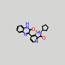 O=c1[nH]c2ccccc2nc1-c1ccnc2c(=O)n(C3CCCC3)sc12